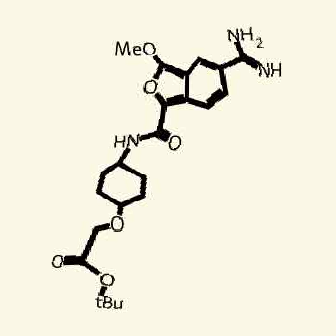 COc1oc(C(=O)NC2CCC(OCC(=O)OC(C)(C)C)CC2)c2ccc(C(=N)N)cc12